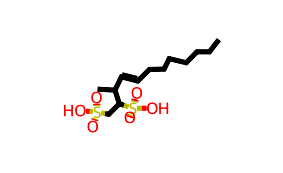 CCCCCCC/C=C/C(C)C(CS(=O)(=O)O)S(=O)(=O)O